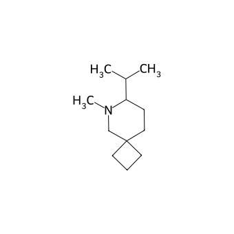 CC(C)C1CCC2(CCC2)CN1C